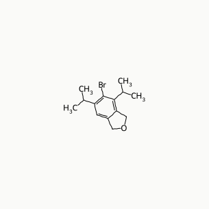 CC(C)c1cc2c(c(C(C)C)c1Br)COC2